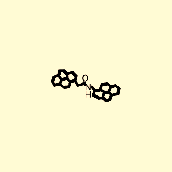 O=C(Cc1ccc2ccc3cccc4ccc1c2c34)NCc1ccc2ccc3cccc4ccc1c2c34